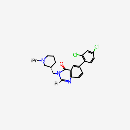 CC(C)c1nc2ccc(-c3ccc(Cl)cc3Cl)cc2c(=O)n1C[C@H]1CCCN(C(C)C)C1